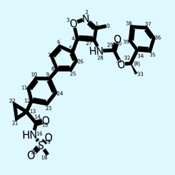 Cc1noc(-c2ccc(-c3ccc(C4(C(=O)NS(C)(=O)=O)CC4)cc3)cc2)c1NC(=O)O[C@H](C)c1ccccc1